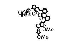 COc1nc(-c2cccc(-c3cccc(-c4cc5c(c(OC)n4)[C@@H](N4CC6(CNC(=O)C6)C4)CC5)c3Cl)c2Cl)cc2c1[C@@H](N1CC(OC)C1)CC2